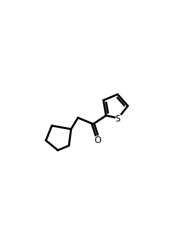 O=C(CC1CCCC1)c1cccs1